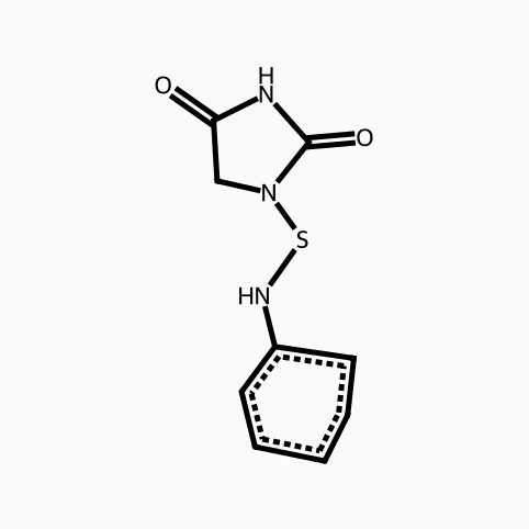 O=C1CN(SNc2ccccc2)C(=O)N1